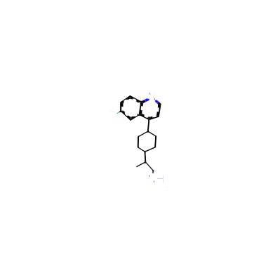 CC(CN)C1CCC(c2ccnc3ccc(F)cc23)CC1